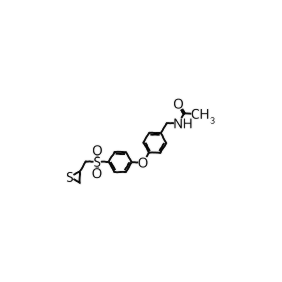 CC(=O)NCc1ccc(Oc2ccc(S(=O)(=O)CC3CS3)cc2)cc1